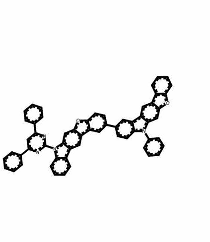 c1ccc(-c2cc(-c3ccccc3)nc(-n3c4ccccc4c4cc5c(cc43)oc3ccc(-c4ccc6c(c4)c4cc7c(cc4n6-c4ccccc4)oc4ccccc47)cc35)n2)cc1